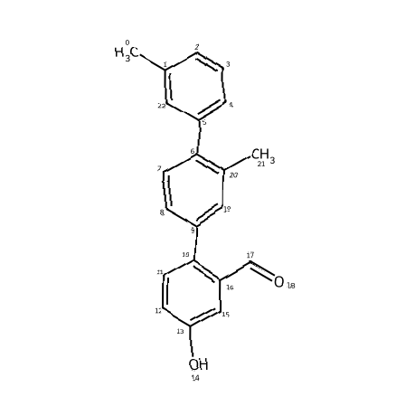 Cc1cccc(-c2ccc(-c3ccc(O)cc3C=O)cc2C)c1